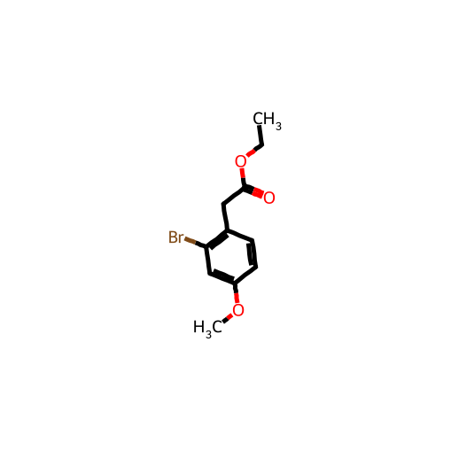 CCOC(=O)Cc1ccc(OC)cc1Br